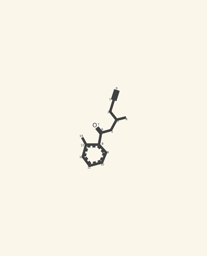 C#CCC(C)CC(=O)c1ccccc1C